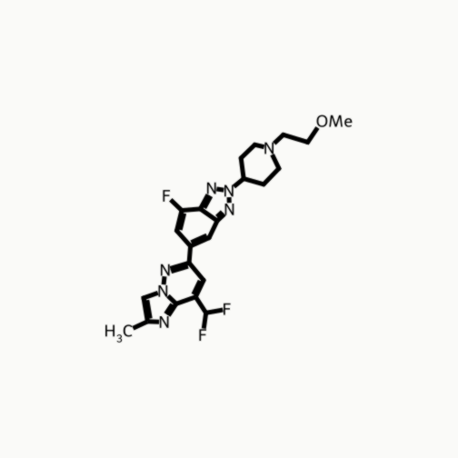 COCCN1CCC(n2nc3cc(-c4cc(C(F)F)c5nc(C)cn5n4)cc(F)c3n2)CC1